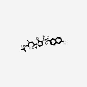 CC(C)NC(=O)[C@@H](C)CC(O)N1CC[C@H](NS(=O)(=O)c2ccc3cc(Cl)ccc3c2)C1=O